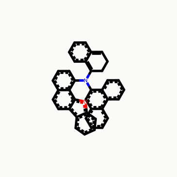 C1=c2ccccc2=C(N(c2cc3ccccc3c3ccccc23)c2cccc3ccc4c5ccccc5oc4c23)CC1